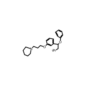 C[C](C)CC(Oc1ccccc1)c1cccc(OCCCN2CCCCC2)c1